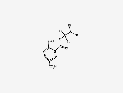 CCCCC(CC)C(CC)(CC)OC(=O)c1cc(C(=O)O)ccc1C(=O)O